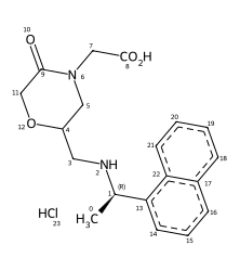 C[C@@H](NCC1CN(CC(=O)O)C(=O)CO1)c1cccc2ccccc12.Cl